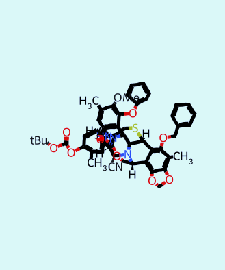 COc1c(C)cc2c(c1Oc1ccccc1)C1C3[C@@H]4SC[C@]5(NCCc6cc(OC(=O)OC(C)(C)C)c(C)cc65)C(=O)OC[C@@H](c5c6c(c(C)c(OCc7ccccc7)c54)OCO6)N3[C@@H](C#N)[C@@H](C2)N1C